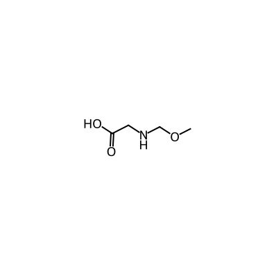 COCNCC(=O)O